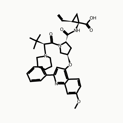 C=C[C@H]1C[C@]1(NC(=O)[C@@H]1C[C@@H](Oc2cc(-c3ccccc3)nc3cc(OC)ccc23)CN1C(=O)[C@@H](N1CCCCC1)C(C)(C)C)C(=O)O